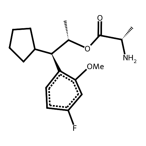 COc1cc(F)ccc1[C@@H](C1CCCC1)[C@H](C)OC(=O)[C@H](C)N